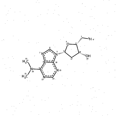 [3H]C[C@H]1O[C@@H](n2cnc3c(N(C)C)ncnc32)C[C@H]1O